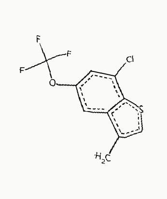 [CH2]c1csc2c(Cl)cc(OC(F)(F)F)cc12